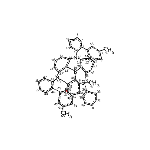 Cc1ccnc(-c2ccccc2N2c3cccc4c3B3c5c2cccc5[Si](C)(c2ccccc2)c2cccc(c23)N4c2ccccc2-c2cc(C)ccn2)c1